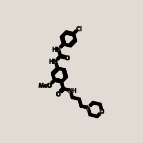 COc1cc(NC(=O)Nc2ccc(Cl)cc2)ccc1C(=O)NCCCN1CCOCC1